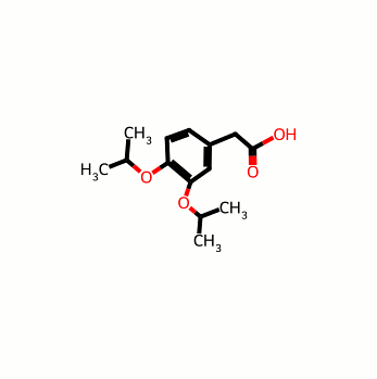 CC(C)Oc1ccc(CC(=O)O)cc1OC(C)C